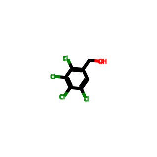 OCc1cc(Cl)c(Cl)c(Cl)c1Cl